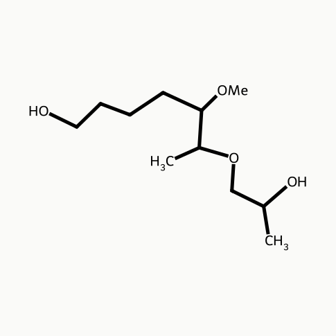 COC(CCCCO)C(C)OCC(C)O